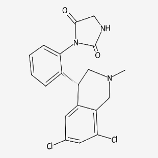 CN1Cc2c(Cl)cc(Cl)cc2[C@H](c2ccccc2N2C(=O)CNC2=O)C1